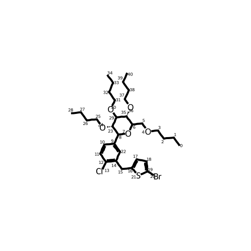 CCCCOCC1OC(c2ccc(Cl)c(Cc3ccc(Br)s3)c2)[C@H](OCCCC)C(OCCCC)[C@@H]1OCCCC